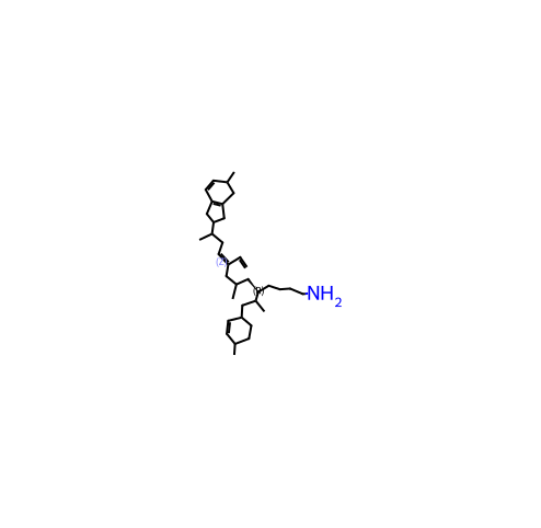 C=C/C(=C\CC(C)C1CC2=C(CC(C)C=C2)C1)CC(C)C[C@@H](CCCCN)C(C)CC1C=CC(C)CC1